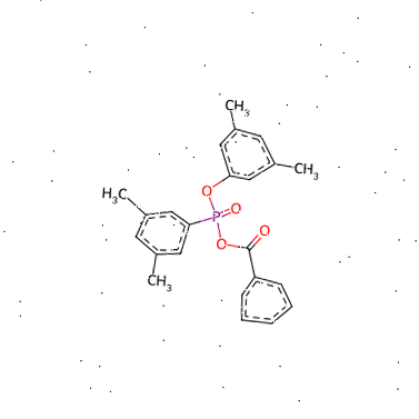 Cc1cc(C)cc(OP(=O)(OC(=O)c2ccccc2)c2cc(C)cc(C)c2)c1